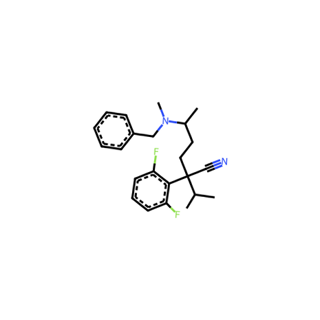 CC(CCC(C#N)(c1c(F)cccc1F)C(C)C)N(C)Cc1ccccc1